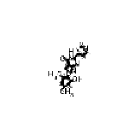 Cc1cc(C)c(-n2cc3c(=O)[nH]c(-c4ccncn4)nc3n2)c(O)c1